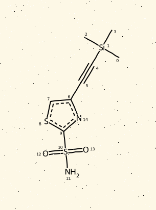 C[Si](C)(C)C#Cc1csc(S(N)(=O)=O)n1